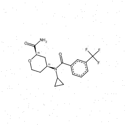 NC(=O)[C@H]1C[C@@H](N(C(=O)c2cccc(C(F)(F)F)c2)C2CC2)CCO1